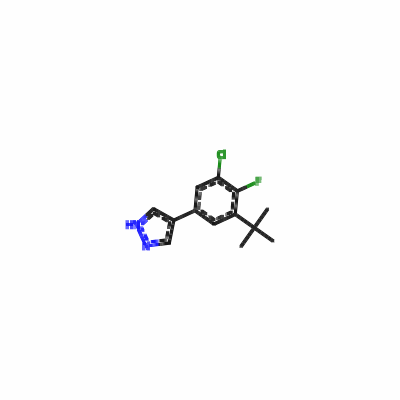 CC(C)(C)c1cc(-c2cn[nH]c2)cc(Cl)c1F